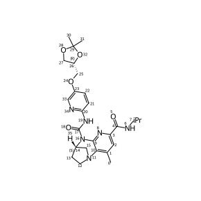 Cc1cc(C(=O)NC(C)C)nc2c1N1CC[C@@H](C1)N2C(=O)Nc1ccc(OC[C@@H]2COC(C)(C)O2)cn1